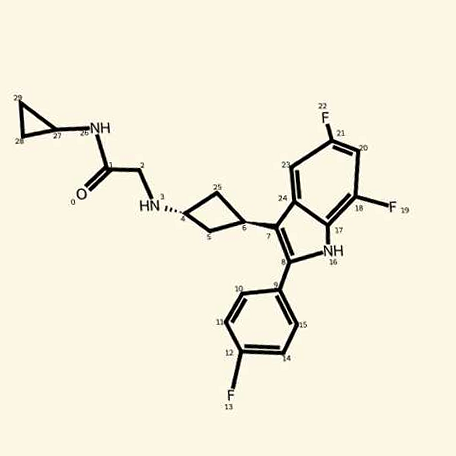 O=C(CN[C@H]1C[C@H](c2c(-c3ccc(F)cc3)[nH]c3c(F)cc(F)cc32)C1)NC1CC1